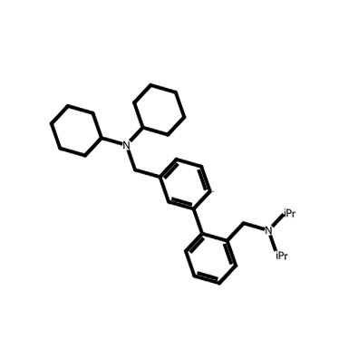 CC(C)N(Cc1ccccc1-c1[c]ccc(CN(C2CCCCC2)C2CCCCC2)c1)C(C)C